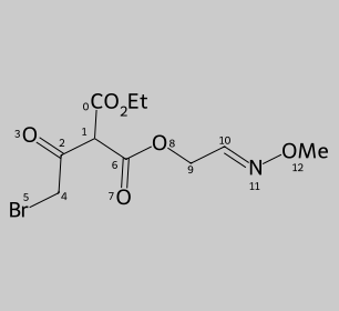 CCOC(=O)C(C(=O)CBr)C(=O)OCC=NOC